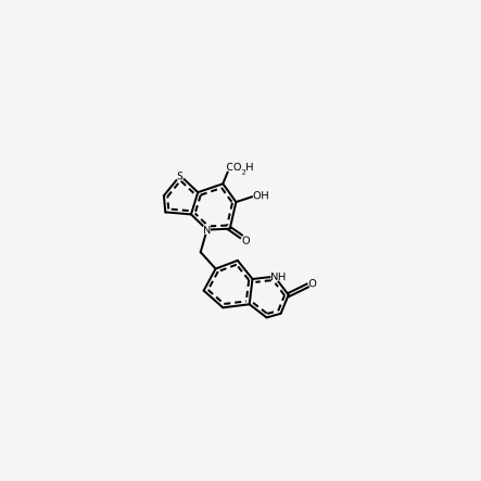 O=C(O)c1c(O)c(=O)n(Cc2ccc3ccc(=O)[nH]c3c2)c2ccsc12